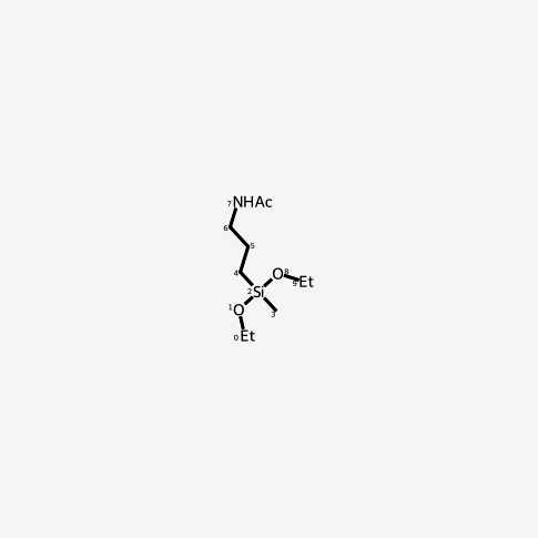 CCO[Si](C)(CCCNC(C)=O)OCC